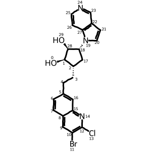 O[C@@H]1[C@@H](CCc2ccc3cc(Br)c(Cl)nc3c2)C[C@@H](n2ccc3cnccc32)[C@@H]1O